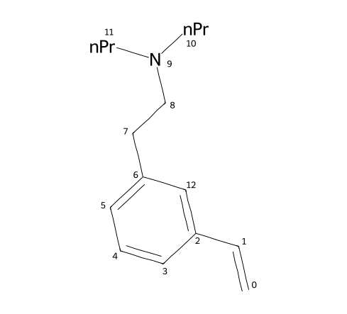 C=Cc1cccc(CCN(CCC)CCC)c1